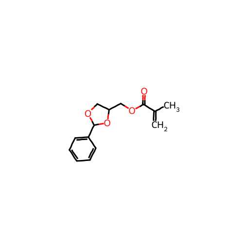 C=C(C)C(=O)OCC1COC(c2ccccc2)O1